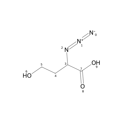 [N-]=[N+]=NC(CCO)C(=O)O